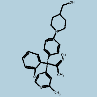 C/C(=N/O)[C@](c1ccc(N2CCC(CO)CC2)cc1)(c1ccnc(C)c1)c1ccccc1C